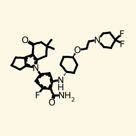 CC1(C)CC(=O)c2c3c(n(-c4cc(F)c(C(N)=O)c(N[C@H]5CC[C@H](OCCN6CCC(F)(F)CC6)CC5)c4)c2C1)CCC3